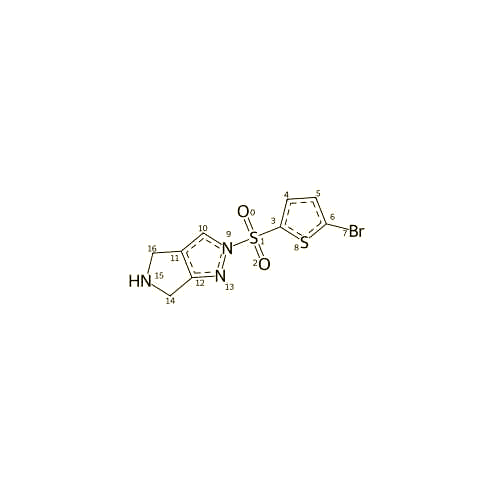 O=S(=O)(c1ccc(Br)s1)n1cc2c(n1)CNC2